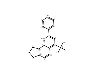 CC(C)(C)c1cc(-c2ccccn2)nc2c3c(ccc12)CCC3